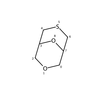 C1OCC2CSCC1O2